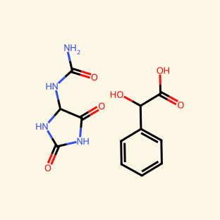 NC(=O)NC1NC(=O)NC1=O.O=C(O)C(O)c1ccccc1